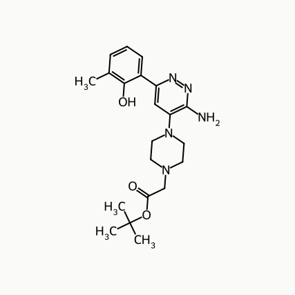 Cc1cccc(-c2cc(N3CCN(CC(=O)OC(C)(C)C)CC3)c(N)nn2)c1O